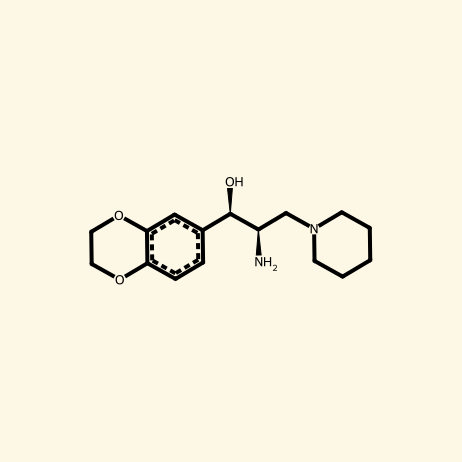 N[C@H](CN1CCCCC1)[C@H](O)c1ccc2c(c1)OCCO2